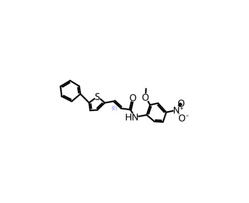 COc1cc([N+](=O)[O-])ccc1NC(=O)/C=C/c1ccc(-c2ccccc2)s1